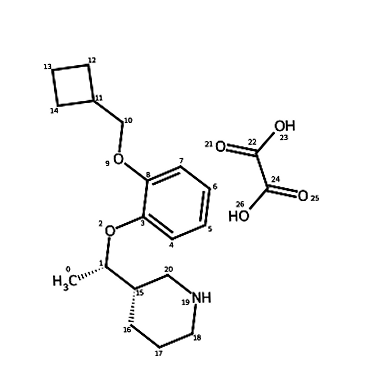 C[C@H](Oc1ccccc1OCC1CCC1)[C@H]1CCCNC1.O=C(O)C(=O)O